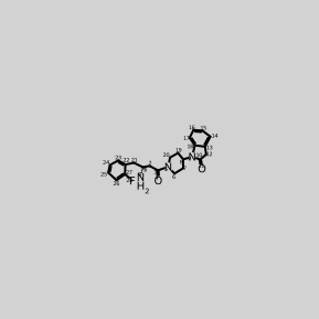 N[C@@H](CC(=O)N1CCC(N2C(=O)Cc3ccccc32)CC1)Cc1ccccc1F